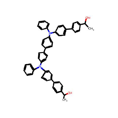 CC(O)c1ccc(-c2ccc(N(c3ccccc3)c3ccc(-c4ccc(N(c5ccccc5)c5ccc(-c6ccc(C(C)O)cc6)cc5)cc4)cc3)cc2)cc1